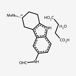 CN[C@@H]1CCc2[nH]c3ccc(NC=O)cc3c2C1.O.O=C(O)CCC(=O)O